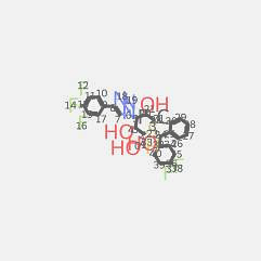 OC[C@@H]1[C@H](O)[C@@H](n2cc(-c3cc(F)c(F)c(F)c3)nn2)[C@@H](O)C[SH]1[C@H](c1ccccc1C(F)(F)F)C1(O)CCC(F)(F)CC1